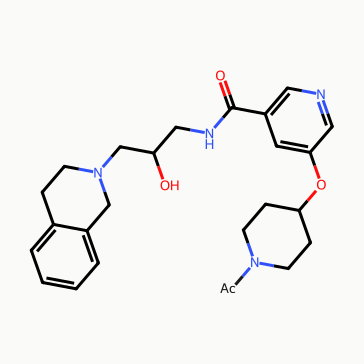 CC(=O)N1CCC(Oc2cncc(C(=O)NCC(O)CN3CCc4ccccc4C3)c2)CC1